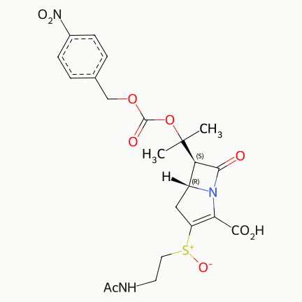 CC(=O)NCC[S+]([O-])C1=C(C(=O)O)N2C(=O)[C@H](C(C)(C)OC(=O)OCc3ccc([N+](=O)[O-])cc3)[C@H]2C1